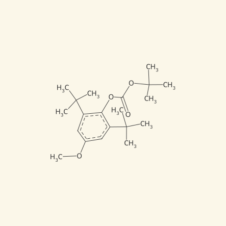 COc1cc(C(C)(C)C)c(OC(=O)OC(C)(C)C)c(C(C)(C)C)c1